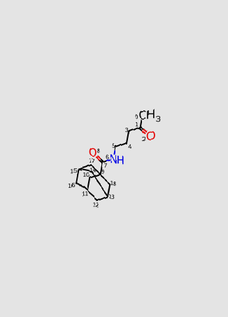 CC(=O)CCCNC(=O)C12CC3CC(CC(C3)C1)C2